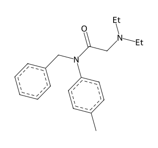 CCN(CC)CC(=O)N(Cc1ccccc1)c1ccc(C)cc1